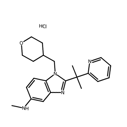 CNc1ccc2c(c1)nc(C(C)(C)c1ccccn1)n2CC1CCOCC1.Cl